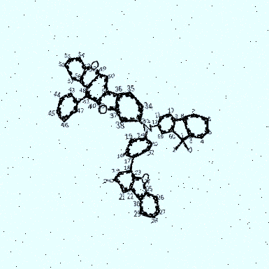 CC1(C)c2ccccc2-c2ccc(N(c3ccc(-c4cccc5c4oc4ccccc45)cc3)c3ccc4c(c3)oc3c(-c5ccccc5)c5c(cc34)oc3ccccc35)cc21